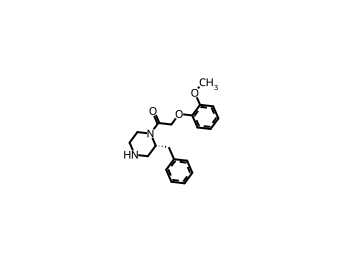 COc1ccccc1OCC(=O)N1CCNC[C@H]1Cc1ccccc1